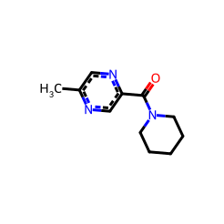 Cc1cnc(C(=O)N2CCCCC2)cn1